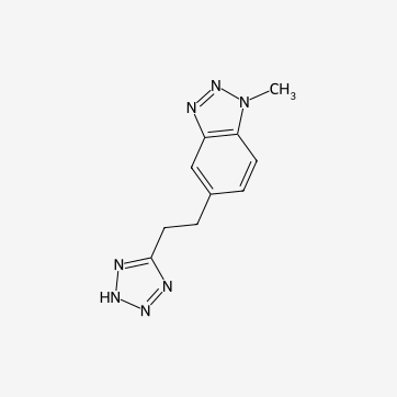 Cn1nnc2cc(CCc3nn[nH]n3)ccc21